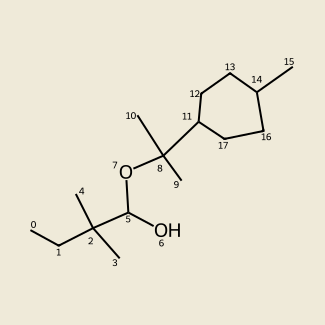 CCC(C)(C)C(O)OC(C)(C)C1CCC(C)CC1